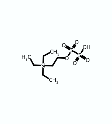 CC[Si](CC)(CC)CCOS(=O)(=O)S(=O)(=O)O